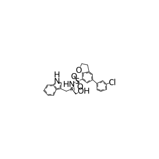 O=S(=O)(N[C@@H](CO)Cc1c[nH]c2ccccc12)c1cc(-c2cccc(Cl)c2)cc2c1OCC2